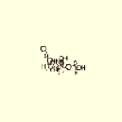 CC(C)(C)C(c1ccc(OCc2ccccc2)cn1)C(NC(=O)O)C(=O)NCc1ccc(C(=O)NO)cc1